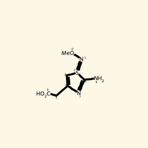 CON=S1C=C(CC(=O)O)N=C1N